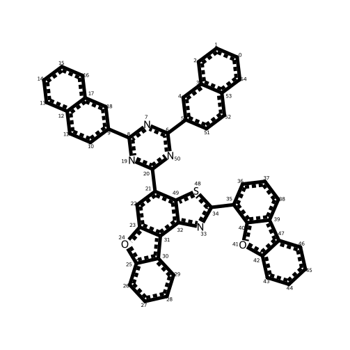 c1ccc2cc(-c3nc(-c4ccc5ccccc5c4)nc(-c4cc5oc6ccccc6c5c5nc(-c6cccc7c6oc6ccccc67)sc45)n3)ccc2c1